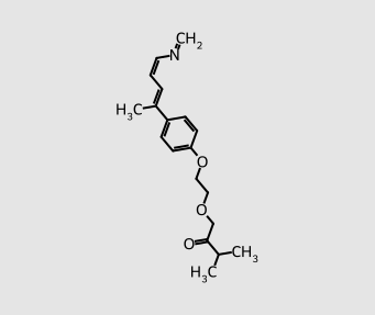 C=N/C=C\C=C(/C)c1ccc(OCCOCC(=O)C(C)C)cc1